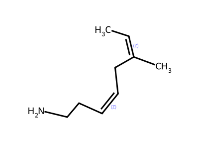 C/C=C(/C)C/C=C\CCN